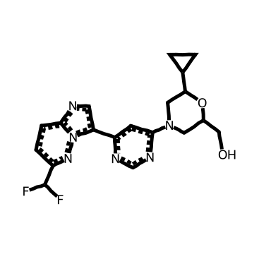 OCC1CN(c2cc(-c3cnc4ccc(C(F)F)nn34)ncn2)CC(C2CC2)O1